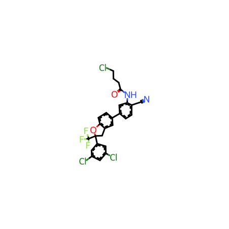 N#Cc1ccc(-c2ccc3c(c2)CC(c2cc(Cl)cc(Cl)c2)(C(F)(F)F)O3)cc1NC(=O)CCCCl